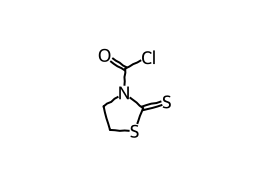 O=C(Cl)N1CCSC1=S